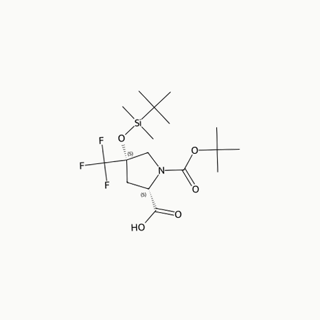 CC(C)(C)OC(=O)N1C[C@](O[Si](C)(C)C(C)(C)C)(C(F)(F)F)C[C@H]1C(=O)O